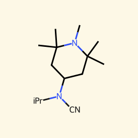 CC(C)N(C#N)C1CC(C)(C)N(C)C(C)(C)C1